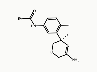 CC(C)C(=O)Nc1ccc(F)c([C@]2(C)COCC(N)=N2)c1